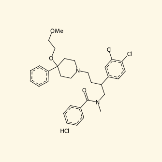 COCCOC1(c2ccccc2)CCN(CCC(CN(C)C(=O)c2ccccc2)c2ccc(Cl)c(Cl)c2)CC1.Cl